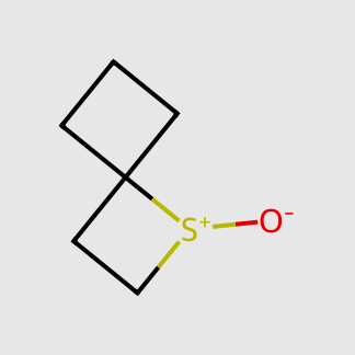 [O-][S+]1CCC12CCC2